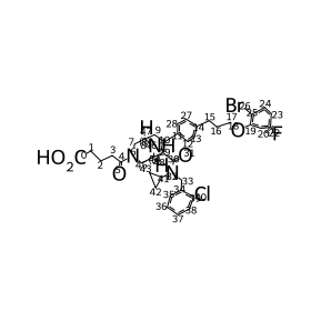 O=C(O)CCCC(=O)N1C[C@H]2CC(c3ccc(CCCOc4cc(F)ccc4Br)cc3)=C(C(=O)N(Cc3ccccc3Cl)C3CC3)[C@@H](C1)N2